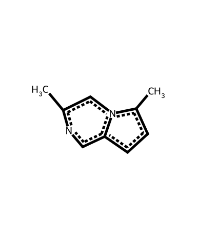 Cc1cn2c(C)ccc2cn1